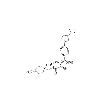 CN/C(=C1/N=CN(CC2(O)CCN(C)CC2)C(=O)C1=N)c1ccc(C2CCC(C3CCC3)C2)cc1